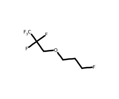 FCCCOCC(F)(F)C(F)(F)F